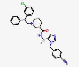 C[C@H](NC(=O)C1CCCN(CC(c2ccccc2)c2cccc(Cl)c2)C1)c1cncn1Cc1ccc(C#N)cc1